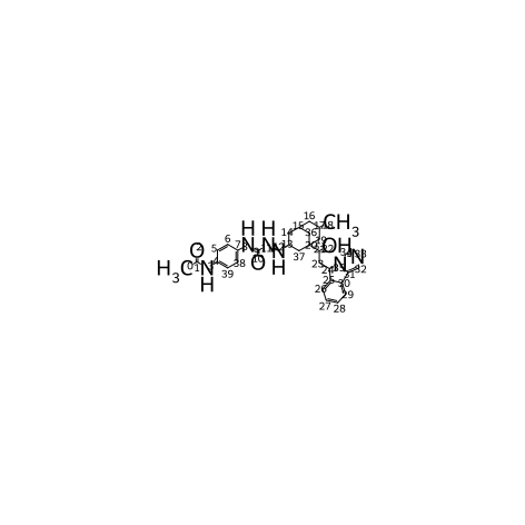 CC(=O)Nc1ccc(NC(=O)NNC2CC3CC(C)CC(C(O)CC4c5ccccc5-c5cncn54)(C3)C2)cc1